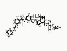 Nc1ncc(OC(=O)NCCO)c2scc(COc3cccc(NC(=O)c4cccc(OCCN5CCOCC5)c4)c3)c12